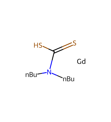 CCCCN(CCCC)C(=S)S.[Gd]